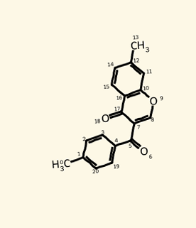 Cc1ccc(C(=O)c2coc3cc(C)ccc3c2=O)cc1